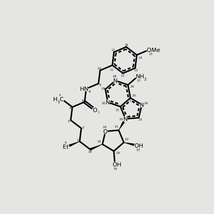 CC[C@@H](CCC(C)C(=O)NCCc1ccc(OC)cc1)C[C@H]1O[C@@H](n2cnc3c(N)ncnc32)[C@@H](O)C1O